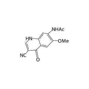 COc1cc2c(=O)c(C#N)c[nH]c2cc1NC(C)=O